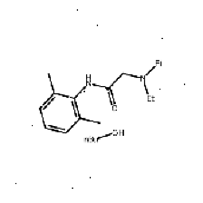 CCCCO.CCN(CC)CC(=O)Nc1c(C)cccc1C